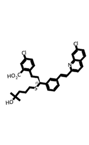 CC(C)(O)CCCS[C@@H](CCc1ccc(Cl)cc1C(=O)O)c1cccc(C=Cc2ccc3ccc(Cl)cc3n2)c1